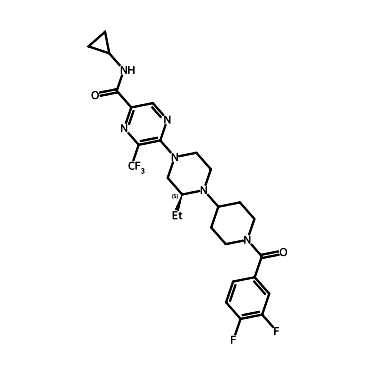 CC[C@H]1CN(c2ncc(C(=O)NC3CC3)nc2C(F)(F)F)CCN1C1CCN(C(=O)c2ccc(F)c(F)c2)CC1